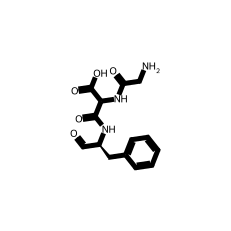 NCC(=O)NC(C(=O)O)C(=O)N[C@H](C=O)Cc1ccccc1